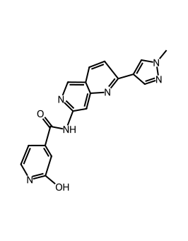 Cn1cc(-c2ccc3cnc(NC(=O)c4ccnc(O)c4)cc3n2)cn1